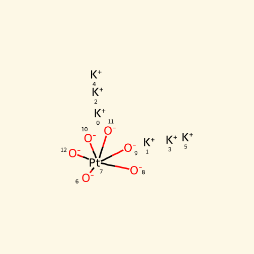 [K+].[K+].[K+].[K+].[K+].[K+].[O-][Pt]([O-])([O-])([O-])([O-])[O-]